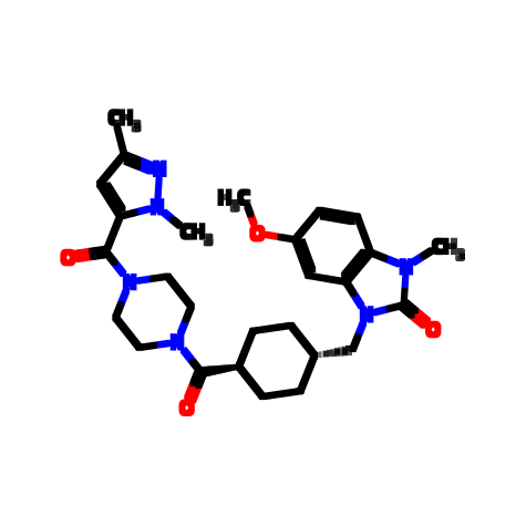 COc1ccc2c(c1)n(C[C@H]1CC[C@H](C(=O)N3CCN(C(=O)c4cc(C)nn4C)CC3)CC1)c(=O)n2C